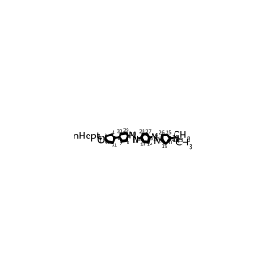 CCCCCCCOc1ccc(-c2ccc(N=Nc3ccc(/N=N/c4ccc(N(C)C)cc4)cc3)cc2)cc1